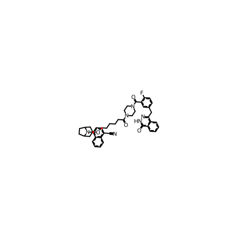 N#Cc1ccc(N2C3CCC2CC(OCCCCCC(=O)N2CCN(C(=O)c4cc(Cc5n[nH]c(=O)c6ccccc56)ccc4F)CC2)C3)c2ccccc12